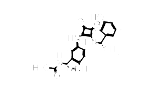 CC(=O)Nc1n[nH]c2ccc(Nc3c(N[C@H](C)c4cccc(O)c4)c(=O)c3=O)cc12